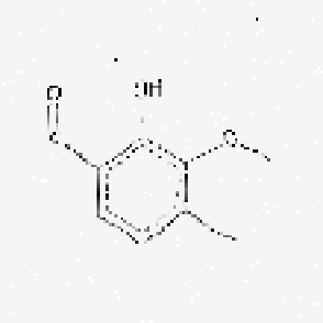 COc1c(C)ccc(C=O)c1O